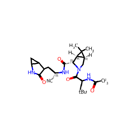 CC(C)(C)C(NC(=O)C(F)(F)F)C(=O)N1C[C@H]2[C@@H]([C@H]1C(=O)N[C@H](C#N)CC1C(=O)NC3CC31)C2(C)C